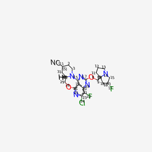 N#C[C@H]1CCN2c3nc(OC[C@@]45CCCN4C[C@H](F)C5)nc4c(F)c(Cl)nc(c34)OC[C@@H]2C1